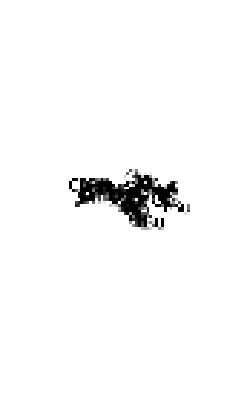 Cc1cc(Cl)c(O[C@H]2CCN(c3ccc([C@@H]4CCN(C(=O)OC(C)(C)C)C[C@H]4C(=O)N(Cc4cc(CCN(C(=O)OC(C)(C)C)C5CC5)ccc4Cl)C4CC4)cn3)C2)c(Cl)c1